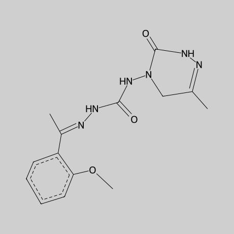 COc1ccccc1/C(C)=N/NC(=O)NN1CC(C)=NNC1=O